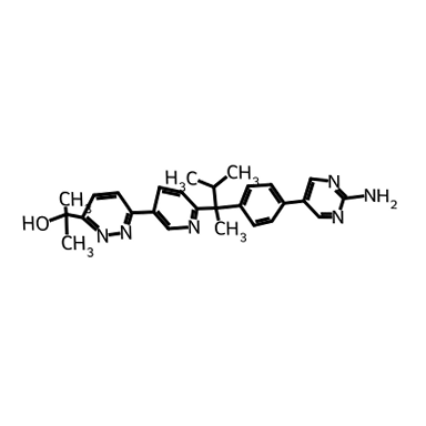 CC(C)C(C)(c1ccc(-c2cnc(N)nc2)cc1)c1ccc(-c2ccc(C(C)(C)O)nn2)cn1